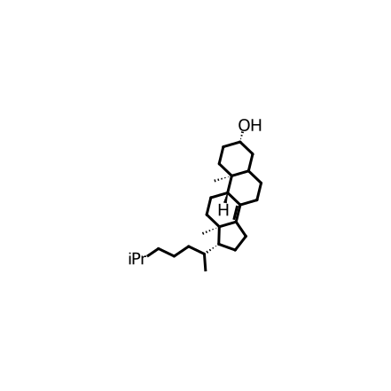 CC(C)CCCC(C)[C@H]1CCC2=C3CCC4C[C@@H](O)CC[C@]4(C)[C@H]3CC[C@@]21C